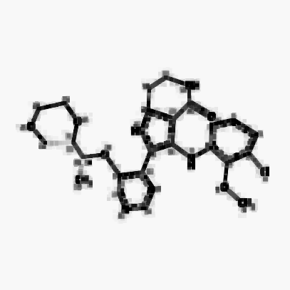 COc1c(Cl)cccc1Nc1c(-c2ccncc2O[C@H](C)[C@@H]2COCCO2)[nH]c2c1C(=O)NCC2